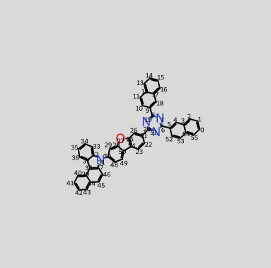 c1ccc2cc(-c3nc(-c4ccc5ccccc5c4)nc(-c4ccc5c(c4)oc4cc(-n6c7ccccc7c7c8ccccc8ccc76)ccc45)n3)ccc2c1